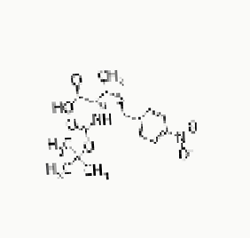 CC(SCc1ccc([N+](=O)[O-])cc1)[C@H](NC(=O)OC(C)(C)C)C(=O)O